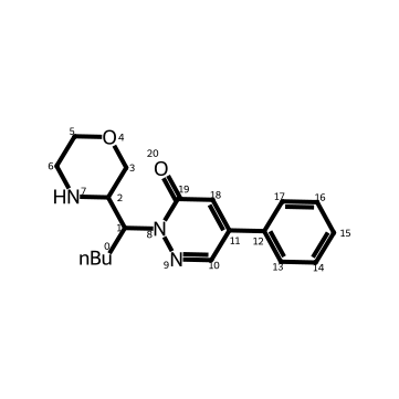 CCCCC(C1COCCN1)n1ncc(-c2ccccc2)cc1=O